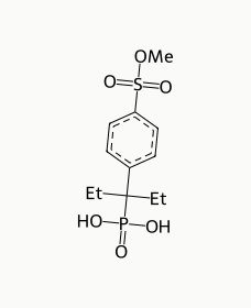 CCC(CC)(c1ccc(S(=O)(=O)OC)cc1)P(=O)(O)O